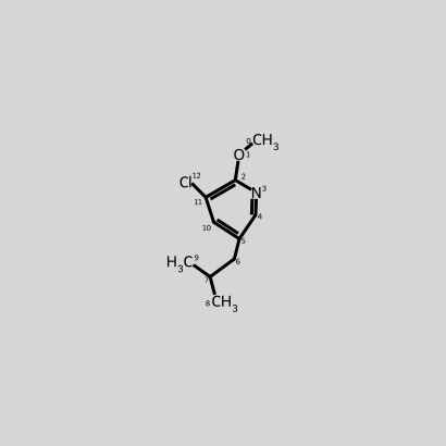 COc1ncc(CC(C)C)cc1Cl